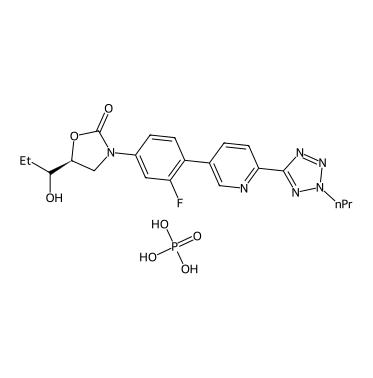 CCCn1nnc(-c2ccc(-c3ccc(N4C[C@@H](C(O)CC)OC4=O)cc3F)cn2)n1.O=P(O)(O)O